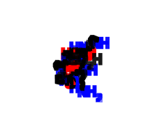 NCCCC[C@H](NC(=O)CNC(=O)[C@H](CO)NC(=O)[C@@H]1CCCN1)C(=O)NCC(=O)N1CCC[C@H]1C(=O)N1CCC[C@H]1C(=O)N1CCC[C@H]1C(=O)O